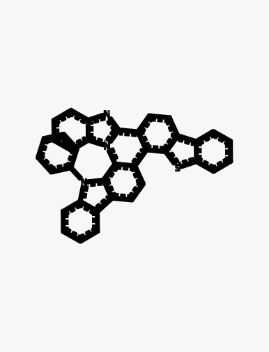 c1ccc(-n2c3ccccc3c3ccc4c5c(ccc6c7ccccc7sc65)c5nc6ccccc6n5c4c32)cc1